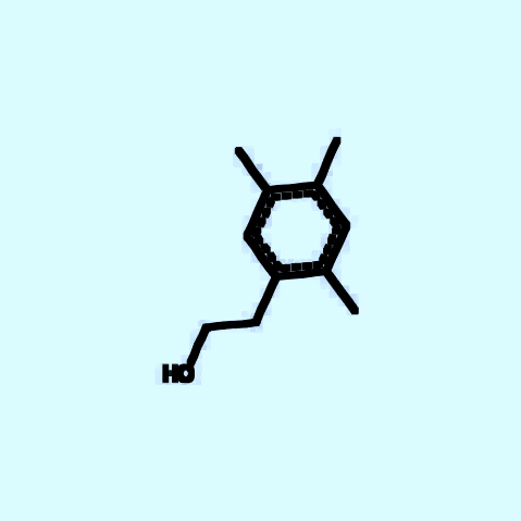 Cc1cc(C)c(CCO)cc1C